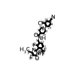 CCc1nc(-c2c(C(F)(F)F)ccc(CNC(=O)C3CCN(c4ccc(C#N)cc4Cl)CC3)c2F)[nH]c(=O)c1F